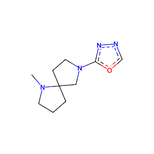 CN1CCCC12CCN(c1nnco1)C2